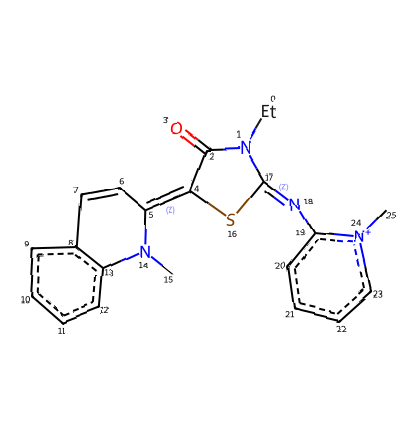 CCN1C(=O)/C(=C2\C=Cc3ccccc3N2C)S/C1=N\c1cccc[n+]1C